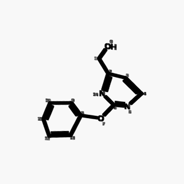 OCc1ccnc(Oc2ccccc2)n1